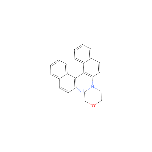 Nc1ccc2ccccc2c1-c1c(N2CCOCC2)ccc2ccccc12